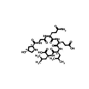 CC(C)C[C@H](NC(=O)[C@H](CC(C)C)NC(=O)[C@H](CCC(=O)O)NC(=O)[C@H](CCC(N)=O)NC(=O)CNC(=O)[C@@H]1C[C@@H](O)CN1)C(=O)O